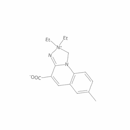 CC[N+]1(CC)CN2C(=N1)C(C(=O)[O-])=Cc1cc(C)ccc12